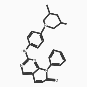 CC1CC(C)CN(c2ccc(Nc3ncc4ccc(=O)n(-c5ccccc5)c4n3)cc2)C1